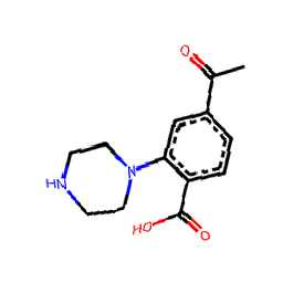 CC(=O)c1ccc(C(=O)O)c(N2CCNCC2)c1